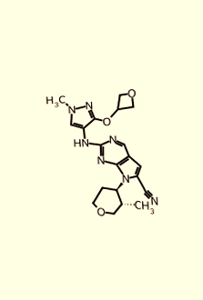 C[C@@H]1COCC[C@H]1n1c(C#N)cc2cnc(Nc3cn(C)nc3OC3COC3)nc21